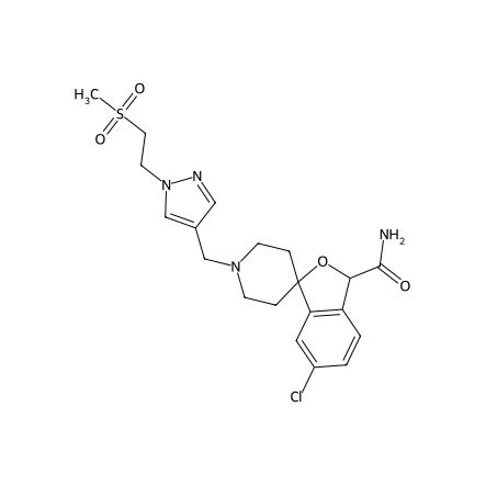 CS(=O)(=O)CCn1cc(CN2CCC3(CC2)OC(C(N)=O)c2ccc(Cl)cc23)cn1